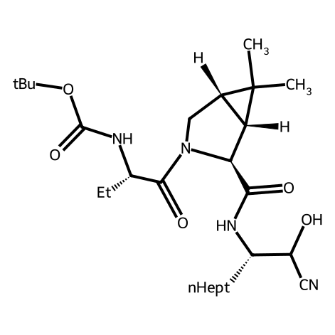 CCCCCCC[C@H](NC(=O)[C@@H]1[C@@H]2[C@H](CN1C(=O)[C@H](CC)NC(=O)OC(C)(C)C)C2(C)C)C(O)C#N